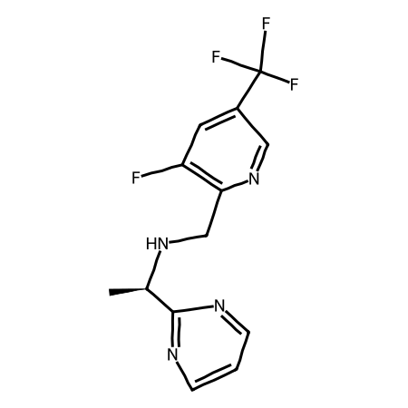 C[C@@H](NCc1ncc(C(F)(F)F)cc1F)c1ncccn1